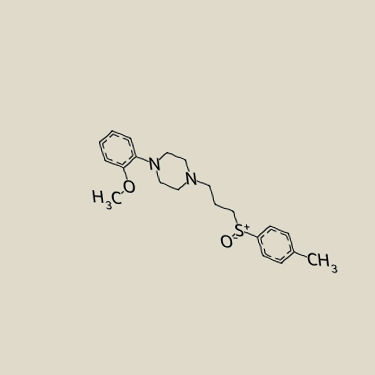 COc1ccccc1N1CCN(CCC[S+]([O-])c2ccc(C)cc2)CC1